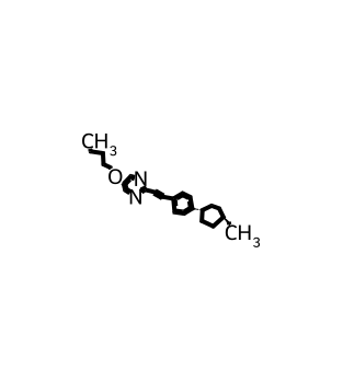 CCCCCOc1cnc(C#Cc2ccc([C@H]3CC[C@H](CC)CC3)cc2)nc1